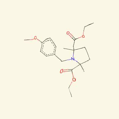 CCOC(=O)C1(C)CCC(C)(C(=O)OCC)N1Cc1ccc(OC)cc1